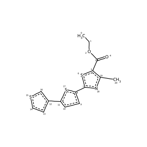 CCOC(=O)c1sc(-c2ccc(-c3ccsc3)s2)nc1C